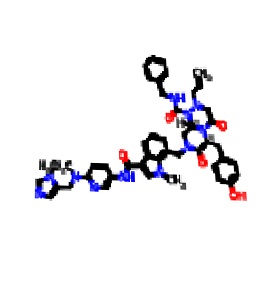 C=CCN1CC(=O)N2[C@@H](Cc3ccc(O)cc3)C(=O)N(Cc3cccc4c(C(=O)Nc5ccc(N(C)Cc6cncn6C)nc5)cn(C)c34)C[C@@H]2N1C(=O)NCc1ccccc1